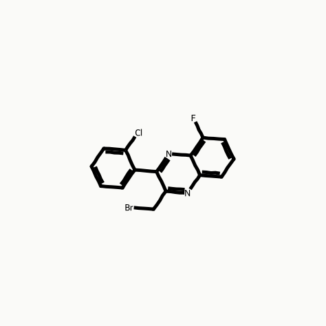 Fc1cccc2nc(CBr)c(-c3ccccc3Cl)nc12